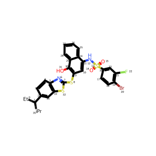 CCC(c1ccc2nc(Sc3cc(NS(=O)(=O)c4ccc(Br)c(F)c4)c4ccccc4c3O)sc2c1)C(C)C